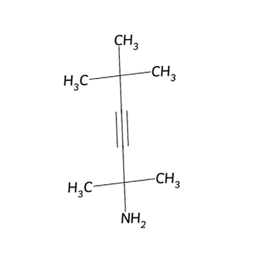 CC(C)(C)C#CC(C)(C)N